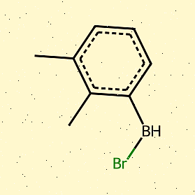 Cc1cccc(BBr)c1C